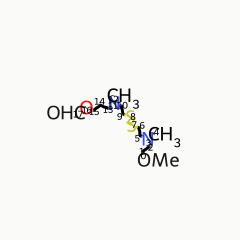 COCCN(C)CCSSCCN(C)CCCOC=O